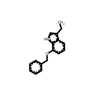 [CH2]Cc1c[nH]c2c(OCc3ccccc3)cccc12